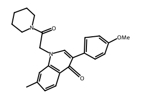 COc1ccc(-c2cn(CC(=O)N3CCCCC3)c3cc(C)ccc3c2=O)cc1